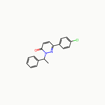 CC(c1ccccc1)n1nc(-c2ccc(Cl)cc2)ccc1=O